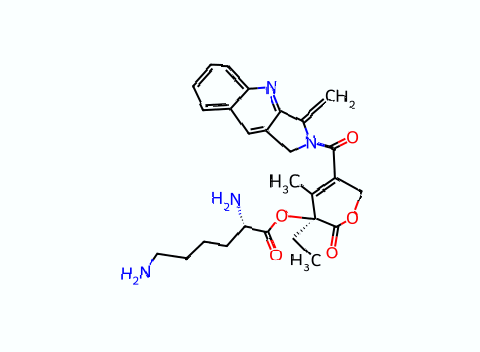 C=C1c2nc3ccccc3cc2CN1C(=O)C1=C(C)[C@](CC)(OC(=O)[C@@H](N)CCCCN)C(=O)OC1